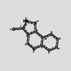 O=c1[nH]sc2c1cnc1ccccc12